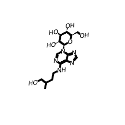 CC(CO)CCNc1ncn([C@@H]2O[C@H](CO)[C@@H](O)[C@H](O)[C@H]2O)c2ncnc1-2